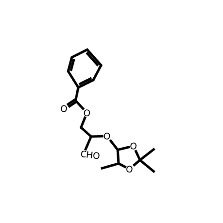 CC1OC(C)(C)OC1OC(C=O)COC(=O)c1ccccc1